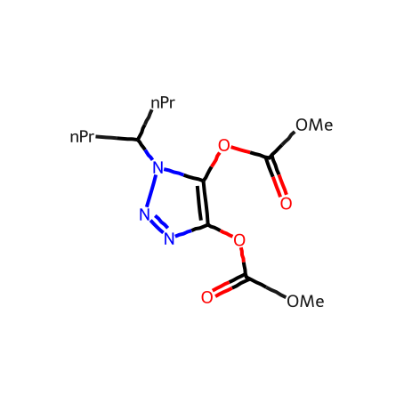 CCCC(CCC)n1nnc(OC(=O)OC)c1OC(=O)OC